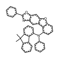 CC1(C)c2ccccc2-c2c(N(c3ccccc3)c3cccc4oc5cc6oc(-c7ccccc7)nc6cc5c34)cccc21